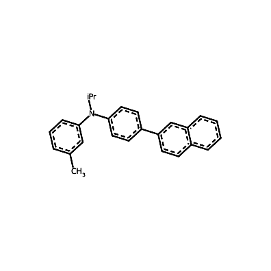 Cc1cccc(N(c2ccc(-c3ccc4ccccc4c3)cc2)C(C)C)c1